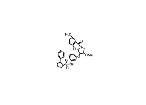 COC1CN(C(=O)c2cc(C)ccc2C)CC1Oc1cccc(NS(=O)(=O)N2CCCC2c2ccncc2)c1